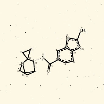 Cc1nc2cc(C(=O)N[C@@H]3C4CCN(C4)C34CC4)ccc2s1